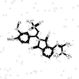 CCOc1cc(C(CS(C)(=O)=O)N2C(=O)c3cccc(N=C(C)N(C)C)c3C2=O)ccc1OC